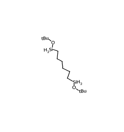 CC(C)(C)O[SiH2]CCCCCC[SiH2]OC(C)(C)C